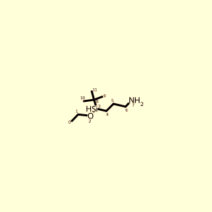 CCO[SiH](CCCN)C(C)(C)C